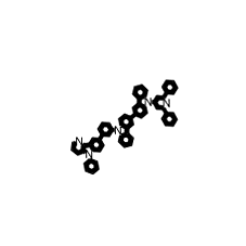 c1ccc(-c2cc(-n3c4ccccc4c4cc(-c5ccc6c(c5)c5ccccc5n6-c5cccc(-c6ccc7c(c6)c6ncccc6n7-c6ccccc6)c5)ccc43)cc(-c3ccccc3)n2)cc1